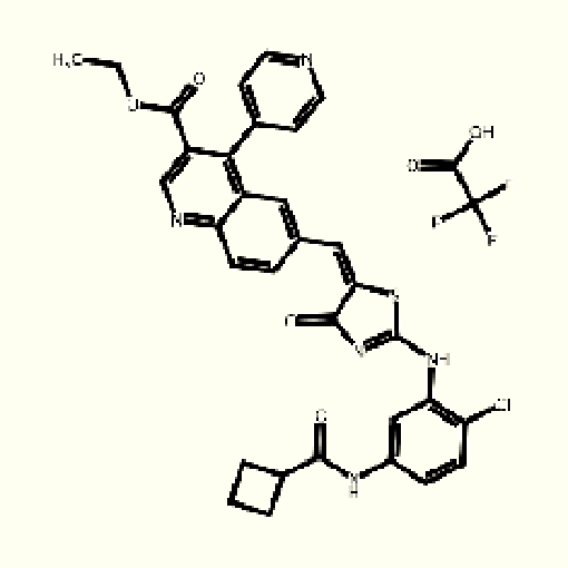 CCOC(=O)c1cnc2ccc(C=C3SC(Nc4cc(NC(=O)C5CCC5)ccc4Cl)=NC3=O)cc2c1-c1ccncc1.O=C(O)C(F)(F)F